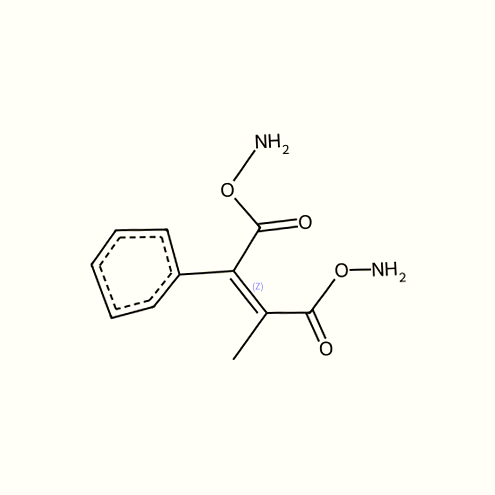 C/C(C(=O)ON)=C(/C(=O)ON)c1ccccc1